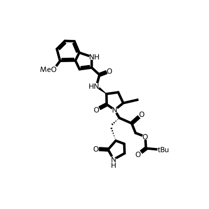 COc1cccc2[nH]c(C(=O)N[C@H]3CC(C)N([C@@H](C[C@@H]4CCNC4=O)C(=O)COC(=O)C(C)(C)C)C3=O)cc12